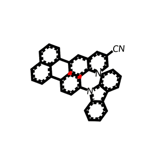 N#Cc1cnc2ccc(-c3cccc4cccc(-c5ccc(-n6c7ccccc7c7ccccc76)cc5)c34)cc2c1